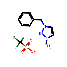 CN1C=CN(Cc2ccccc2)N1.O=S(=O)(O)C(F)(F)F